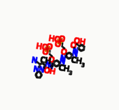 Cc1cc(N=Nc2c(C)c(C#N)c3nc4ccccc4n3c2O)c(OCCCS(=O)(=O)O)cc1N=Nc1cc(C)c(N=Nc2ccccc2C(=O)O)cc1OCCCS(=O)(=O)O